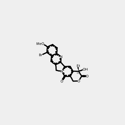 CC[C@@]1(O)C(=O)OCc2c1cc1n(c2=O)Cc2cc3c(Br)c(OC)ccc3nc2-1